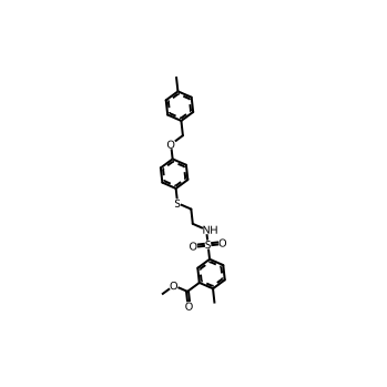 COC(=O)c1cc(S(=O)(=O)NCCSc2ccc(OCc3ccc(C)cc3)cc2)ccc1C